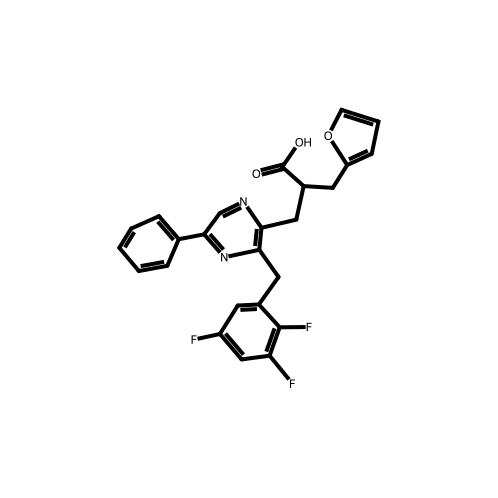 O=C(O)C(Cc1ccco1)Cc1ncc(-c2ccccc2)nc1Cc1cc(F)cc(F)c1F